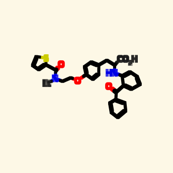 CCN(CCOc1ccc(CC(Nc2ccccc2C(=O)c2ccccc2)C(=O)O)cc1)C(=O)c1cccs1